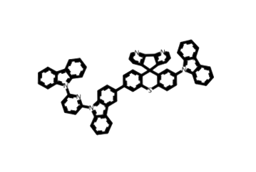 c1cc(-n2c3ccccc3c3ccccc32)nc(-n2c3ccccc3c3cc(-c4ccc5c(c4)Sc4ccc(-n6c7ccccc7c7ccccc76)cc4C54c5cccnc5-c5ncccc54)ccc32)c1